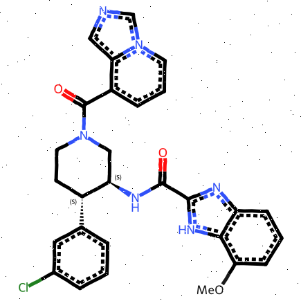 COc1cccc2nc(C(=O)N[C@@H]3CN(C(=O)c4cccn5cncc45)CC[C@H]3c3cccc(Cl)c3)[nH]c12